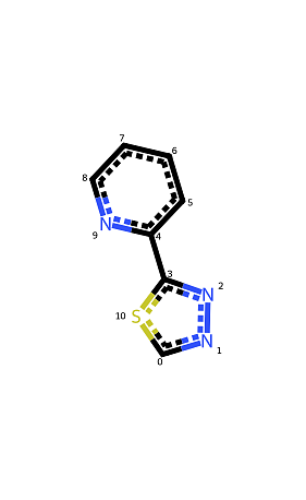 [c]1nnc(-c2ccccn2)s1